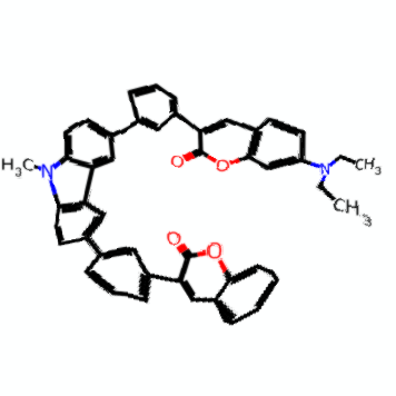 CCN(CC)c1ccc2cc(-c3cccc(-c4ccc5c(c4)c4cc(-c6cccc(-c7cc8ccccc8oc7=O)c6)ccc4n5C)c3)c(=O)oc2c1